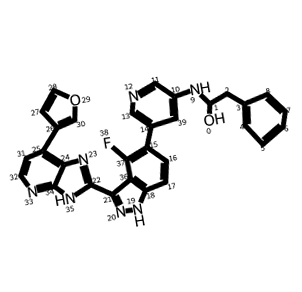 OC(Cc1ccccc1)Nc1cncc(-c2ccc3[nH]nc(-c4nc5c(-c6ccoc6)ccnc5[nH]4)c3c2F)c1